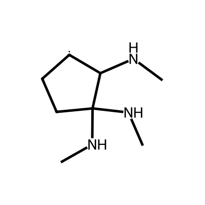 CNC1[CH]CCC1(NC)NC